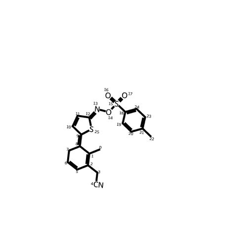 CC1=C(CC#N)C=CCC1=C1C=CC(=NOS(=O)(=O)c2ccc(C)cc2)S1